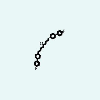 O=C(CCCCC1CCC(c2ccc(F)cc2)CC1)CCCC[C@H]1CC[C@H](c2ccc(F)cc2)CC1